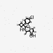 CC(NC(=O)C1(c2ccc(Cl)cc2)CCC1)C1SC=CN1O